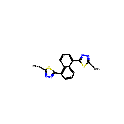 CCCCCCCCCc1nnc(-c2cccc3c(-c4nnc(CCCCCCCCC)s4)cccc23)s1